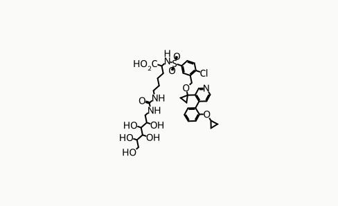 O=C(NCCCCC(NS(=O)(=O)c1ccc(Cl)c(COC2(c3cnccc3-c3ccccc3OC3CC3)CC2)c1)C(=O)O)NCC(O)C(O)C(O)C(O)CO